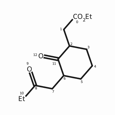 CCOC(=O)CC1CCCC(CC(=O)CC)C1=O